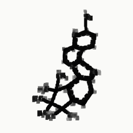 CC(C)(C)c1ccc2c(ccn3c2nc2ccc4c(c23)C(C)(C)C(C)(C)C4(C)C)n1